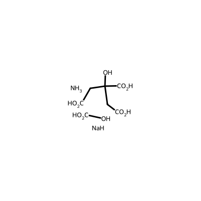 N.O=C(O)CC(O)(CC(=O)O)C(=O)O.O=C(O)O.[NaH]